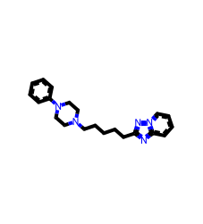 c1ccc(N2CCN(CCCCCc3nc4ccccn4n3)CC2)cc1